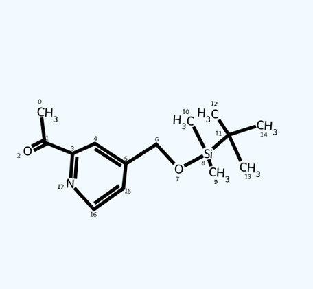 CC(=O)c1cc(CO[Si](C)(C)C(C)(C)C)ccn1